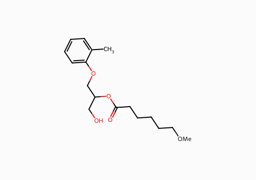 COCCCCCC(=O)OC(CO)COc1ccccc1C